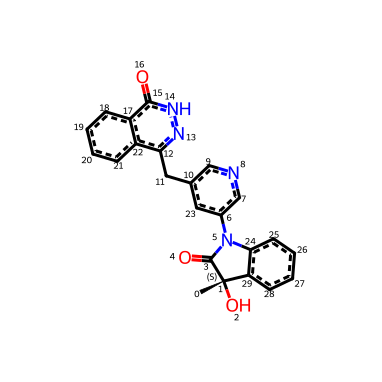 C[C@@]1(O)C(=O)N(c2cncc(Cc3n[nH]c(=O)c4ccccc34)c2)c2ccccc21